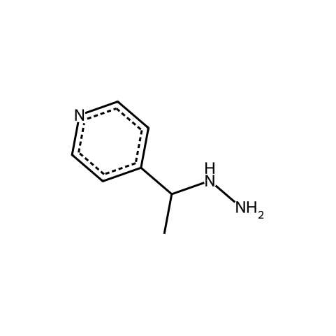 CC(NN)c1ccncc1